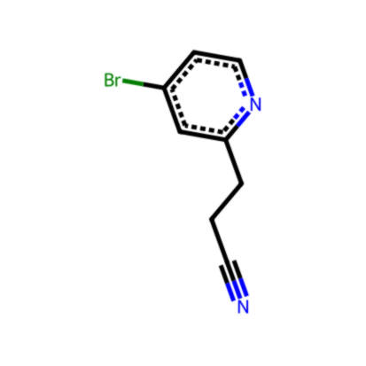 N#CCCc1cc(Br)ccn1